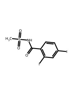 CS(=O)(=O)NC(=O)c1ccc(I)cc1I